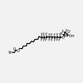 O=C(CBr)OCCCCCCCCCCCC(F)(F)C(F)(F)C(F)(F)C(F)(F)C(F)(F)C(F)(F)C(F)(F)C(F)(F)OC(F)(F)C(F)(F)S(=O)(=O)O